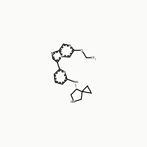 FC(F)(F)COc1cn2c(-c3cccc(N[C@H]4CNCC45CC5)n3)cnc2cn1